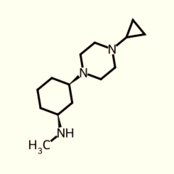 CN[C@H]1CCC[C@@H](N2CCN(C3CC3)CC2)C1